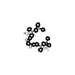 Cc1ccccc1N(c1ccc2cc3c(cc2c1)oc1ccc2oc4cc5cc(N(c6ccc7c(c6)c6ccccc6n7-c6ccccc6)c6ccccc6C)ccc5cc4c2c13)c1ccc2c(c1)c1ccccc1n2-c1ccccc1